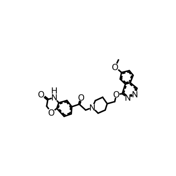 COc1ccc2cnnc(OCC3CCN(CC(=O)c4ccc5c(c4)NC(=O)CO5)CC3)c2c1